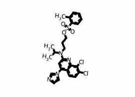 Cc1ccccc1S(=O)(=O)OCCCN(c1cc(-n2ccnc2)c2ccc(Cl)c(Cl)c2n1)C(C)C